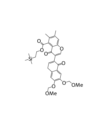 COCOc1cc2c(cc1OCOC)C(=O)C(c1coc3cc(C)c(C)c(C(=O)OCC[Si](C)(C)C)c3c1=O)=CC2